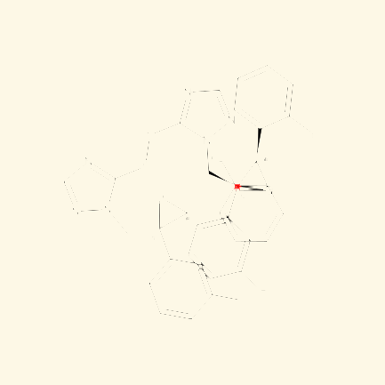 Fc1cccc([C@@]2(Cn3ncnc3SSc3ncnn3C[C@]3(c4cccc(F)c4)O[C@@H]3c3ccccc3Cl)O[C@@H]2c2ccccc2Cl)c1